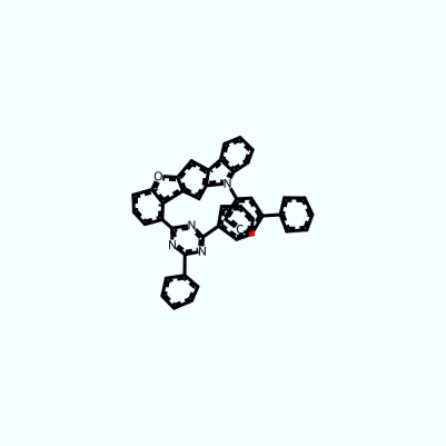 c1ccc(-c2cccc(-n3c4ccccc4c4cc5oc6cccc(-c7nc(-c8ccccc8)nc(-c8ccccc8)n7)c6c5cc43)c2)cc1